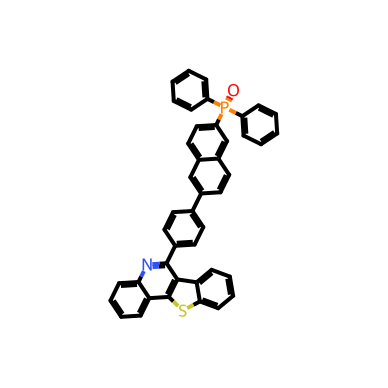 O=P(c1ccccc1)(c1ccccc1)c1ccc2cc(-c3ccc(-c4nc5ccccc5c5sc6ccccc6c45)cc3)ccc2c1